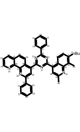 CCCCc1ccc2c(-c3nc(-c4ccccc4)nc(-c4cc(-c5ccccc5)nc5c4ccc4cccnc45)n3)cc(C)nc2c1C